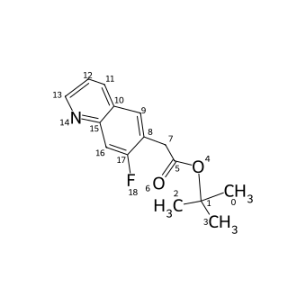 CC(C)(C)OC(=O)Cc1cc2cccnc2cc1F